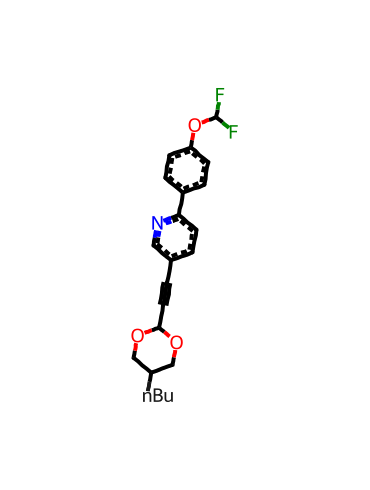 CCCCC1COC(C#Cc2ccc(-c3ccc(OC(F)F)cc3)nc2)OC1